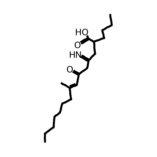 CCCCCCC/C(C)=C/C(=O)CC(=N)CC(CCCC)C(=O)O